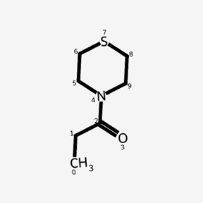 CCC(=O)N1CCSCC1